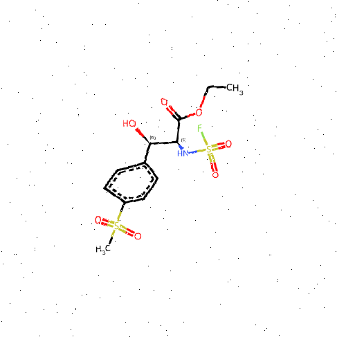 CCOC(=O)[C@@H](NS(=O)(=O)F)[C@H](O)c1ccc(S(C)(=O)=O)cc1